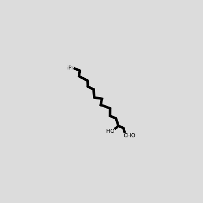 CC(C)CCCCCCCCCCCC(O)CC=O